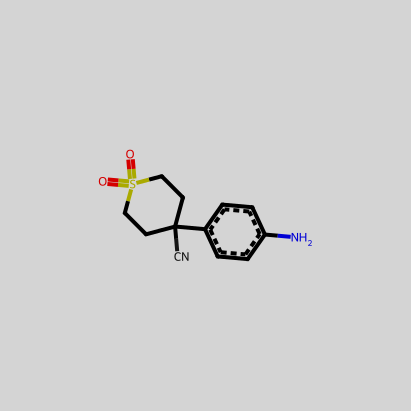 N#CC1(c2ccc(N)cc2)CCS(=O)(=O)CC1